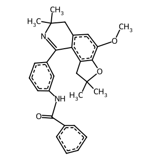 COc1cc2c(c3c1OC(C)(C)C3)C(c1cccc(NC(=O)c3ccccc3)c1)=NC(C)(C)C2